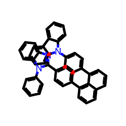 c1ccc(-n2c(-c3ccc(-c4cccc5cccc(-c6ccc(-n7c8ccccc8c8ccccc87)cc6)c45)cc3)nc3ccccc32)cc1